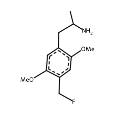 COc1cc(CC(C)N)c(OC)cc1CF